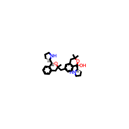 CC1(C)Cc2cc(CC3(C)Cc4ccccc4[C@H]([C@@H]4CCCN4)O3)ccc2[C@](O)([C@@H]2CCCN2)O1